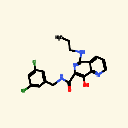 CCCNc1nc(C(=O)NCc2cc(Cl)cc(Cl)c2)c(O)c2ncccc12